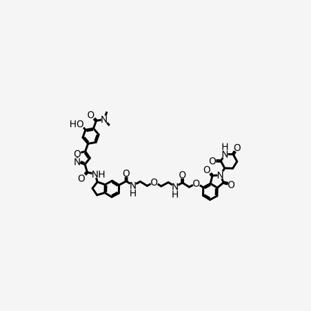 CN(C)C(=O)c1ccc(-c2cc(C(=O)NC3CCc4ccc(C(=O)NCCOCCNC(=O)COc5cccc6c5C(=O)N(C5CCC(=O)NC5=O)C6=O)cc43)no2)cc1O